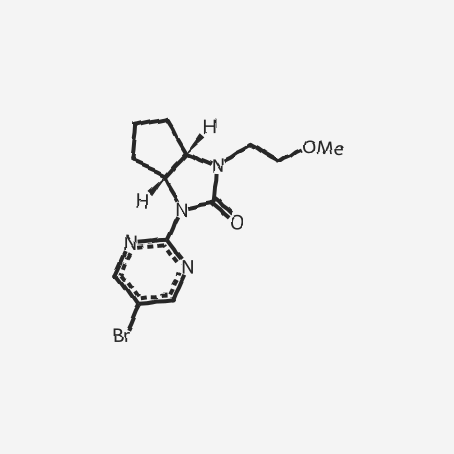 COCCN1C(=O)N(c2ncc(Br)cn2)[C@@H]2CCC[C@@H]21